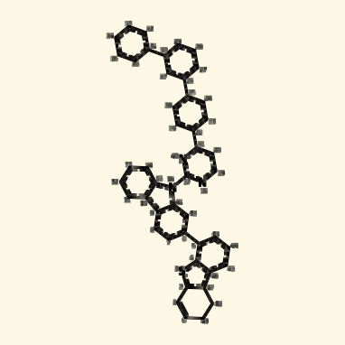 C1=Cc2sc3c(-c4ccc5c6ccccc6n(-c6nccc(-c7ccc(-c8cccc(-c9ccccc9)c8)cc7)n6)c5c4)cccc3c2CC1